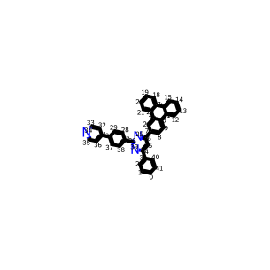 c1ccc(-c2cc(-c3ccc4c5ccccc5c5ccccc5c4c3)nc(-c3ccc(-c4ccncc4)cc3)n2)cc1